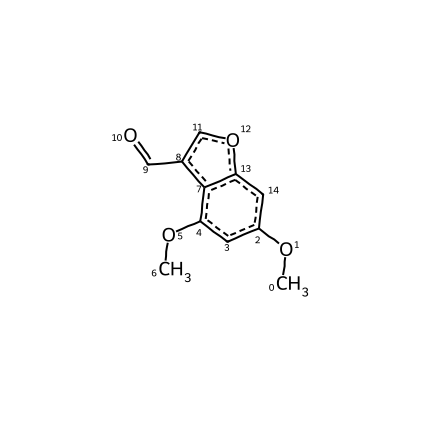 COc1cc(OC)c2c(C=O)coc2c1